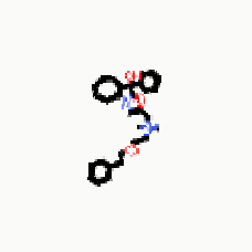 C[N+](C)(CCOCCc1ccccc1)Cc1cnc(C(O)(c2ccccc2)C2CCCCCC2)o1